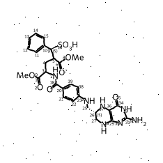 COC(=O)C(CC(C(=O)OC)[C@@H](c1ccccc1)S(=O)(=O)O)NC(=O)c1ccc(NC[C@H]2CNc3nc(N)[nH]c(=O)c3N2)cc1